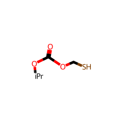 CC(C)OC(=O)OCS